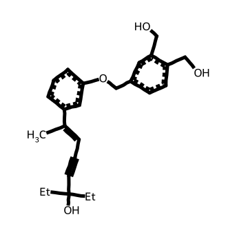 CCC(O)(C#CC=C(C)c1cccc(OCc2ccc(CO)c(CO)c2)c1)CC